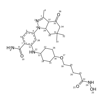 CC1=NN(c2ccc(C(N)=O)c(NC3CCC(OCCCCC(=O)NO)CC3)c2)C2CC(C)(C)CC(=O)C12